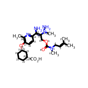 CC(C)=CCN(C)C(=O)OC/C(=C(/N)c1ccc(O[C@H]2CCC[C@@H](C(=O)O)C2)c(C)n1)N(C)N